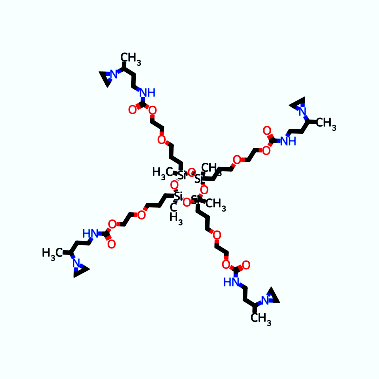 CC(CCNC(=O)OCCOCCC[Si]1(C)O[Si](C)(CCCOCCOC(=O)NCCC(C)N2CC2)O[Si](C)(CCCOCCOC(=O)NCCC(C)N2CC2)O[Si](C)(CCCOCCOC(=O)NCCC(C)N2CC2)O1)N1CC1